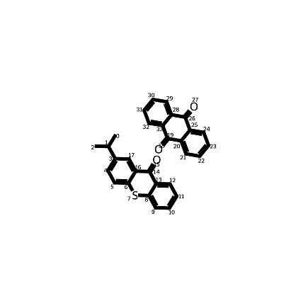 CC(C)c1ccc2sc3ccccc3c(=O)c2c1.O=C1c2ccccc2C(=O)c2ccccc21